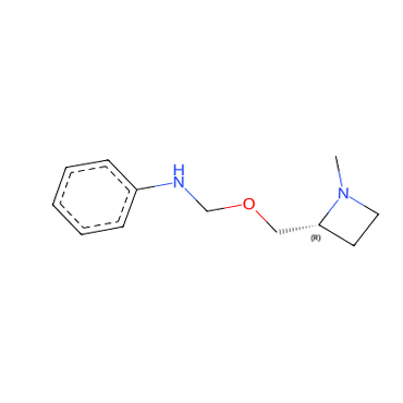 CN1CC[C@@H]1COCNc1ccccc1